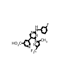 Cc1cc(C(F)(F)F)nn1-c1nc(Nc2cccc(F)c2)ncc1-c1cncc(C(=O)O)c1